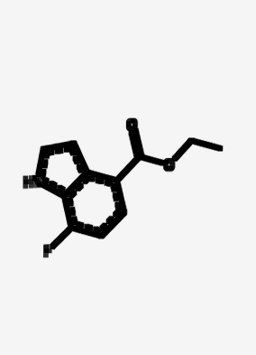 CCOC(=O)c1ccc(F)c2[nH]ccc12